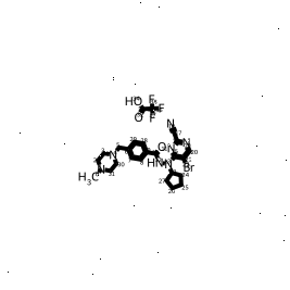 CN1CCN(Cc2ccc(C(=O)NN(c3nc(C#N)ncc3Br)C3CCCC3)cc2)CC1.O=C(O)C(F)(F)F